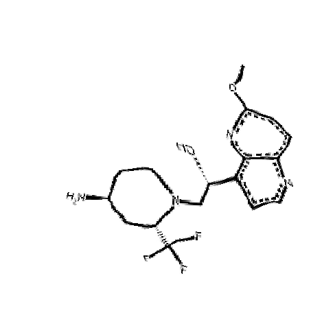 COc1ccc2nccc([C@@H](O)CN3CC[C@H](N)C[C@H]3C(F)(F)F)c2n1